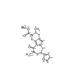 CC1Cc2nn3c(c2CN1C(=O)OC(C)(C)C)C(=O)N(C)CC(c1ccno1)C3